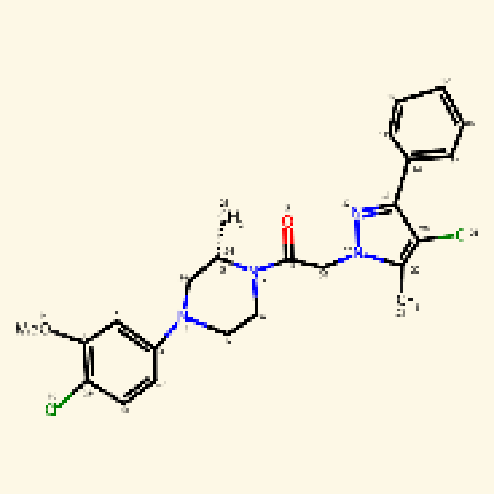 COc1cc(N2CCN(C(=O)Cn3nc(-c4ccccc4)c(Cl)c3C(F)(F)F)[C@@H](C)C2)ccc1Cl